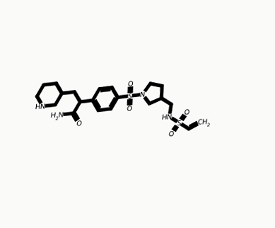 C=CS(=O)(=O)NCC1CCN(S(=O)(=O)c2ccc(C(CC3CCCNC3)C(N)=O)cc2)C1